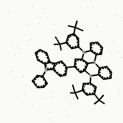 CC(C)(C)c1cc(N2c3ccccc3B3c4ccccc4N(c4cc(C(C)(C)C)cc(C(C)(C)C)c4)c4cc(-c5ccc6c(c5)c5ccccc5n6-c5ccccc5)cc2c43)cc(C(C)(C)C)c1